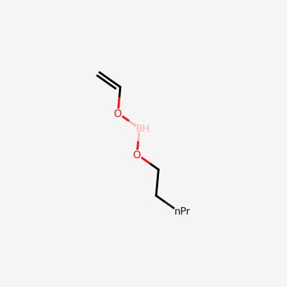 C=COBOCCCCC